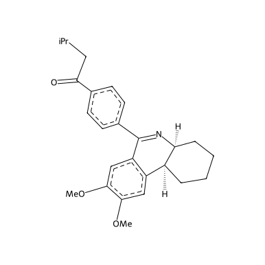 COc1cc2c(cc1OC)[C@@H]1CCCC[C@@H]1N=C2c1ccc(C(=O)CC(C)C)cc1